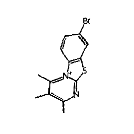 Cc1nc2sc3cc(Br)ccc3[n+]2c(C)c1C